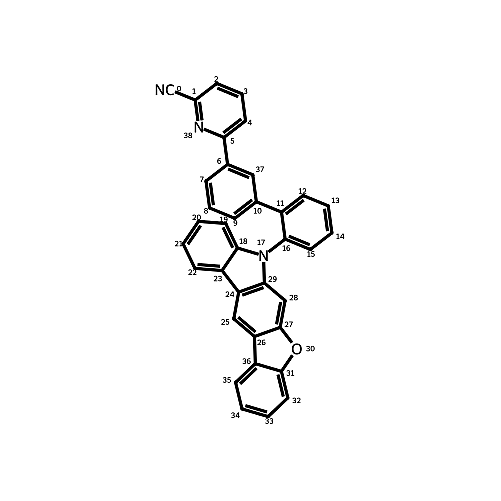 N#Cc1cccc(-c2cccc(-c3ccccc3-n3c4ccccc4c4cc5c(cc43)oc3ccccc35)c2)n1